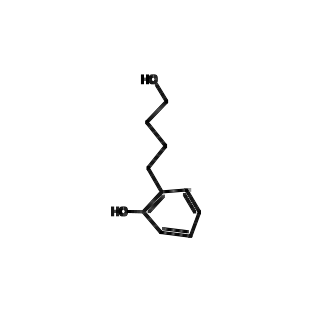 OCCCCc1[c]cccc1O